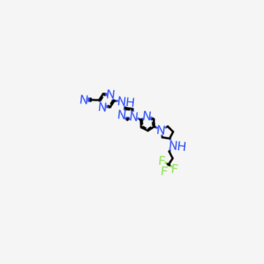 N#Cc1cnc(Nc2cn(-c3ccc(N4CCC(NCCC(F)(F)F)C4)cn3)cn2)cn1